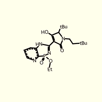 CCOP1(=O)N=C(C2=C(O)C(C(C)(C)C)N(CCC(C)(C)C)C2=O)Nc2cccnc21